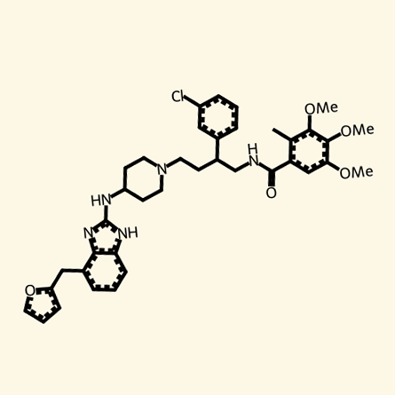 COc1cc(C(=O)NCC(CCN2CCC(Nc3nc4c(Cc5ccco5)cccc4[nH]3)CC2)c2cccc(Cl)c2)c(C)c(OC)c1OC